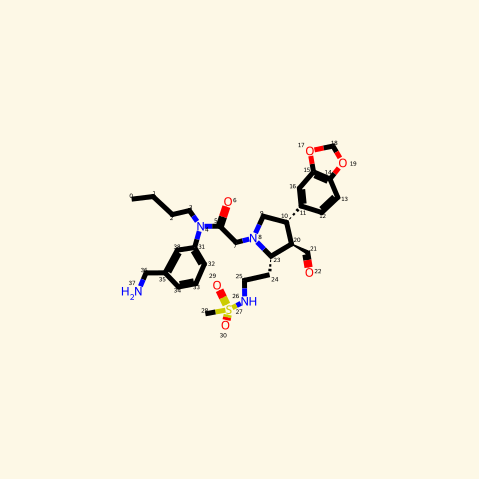 CCCCN(C(=O)CN1C[C@H](c2ccc3c(c2)OCO3)[C@@H](C=O)[C@@H]1CCNS(C)(=O)=O)c1cccc(CN)c1